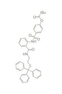 CC(C)(C)C(=O)Oc1ccc(S(=O)(=O)Nc2ccccc2C(=O)NCCSC(c2ccccc2)(c2ccccc2)c2ccccc2)cc1